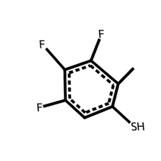 Cc1c(S)cc(F)c(F)c1F